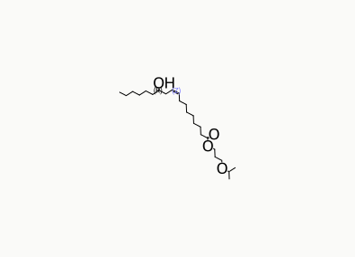 CCCCCC[C@@H](O)C/C=C\CCCCCCCC(=O)OCCCOC(C)C